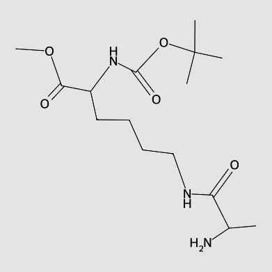 COC(=O)C(CCCCNC(=O)C(C)N)NC(=O)OC(C)(C)C